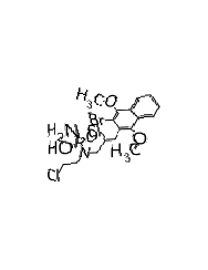 COc1c(Br)c(CC(Cl)CN(CCCl)P(N)(=O)O)c(OC)c2ccccc12